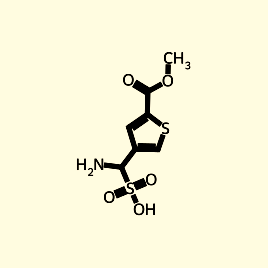 COC(=O)c1cc(C(N)S(=O)(=O)O)cs1